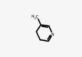 CC1=CN=CCC1